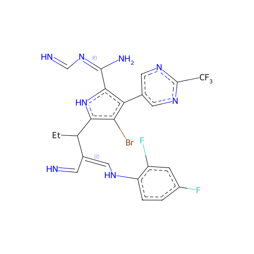 CCC(/C(C=N)=C/Nc1ccc(F)cc1F)c1[nH]c(/C(N)=N\C=N)c(-c2cnc(C(F)(F)F)nc2)c1Br